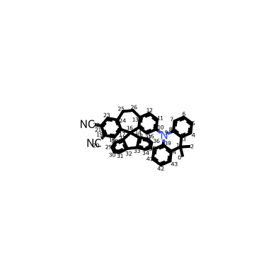 CC1(C)c2ccccc2N(c2ccc3c(c2)C2(c4cc(C#N)c(C#N)cc4CC3)c3ccccc3-c3ccccc32)c2ccccc21